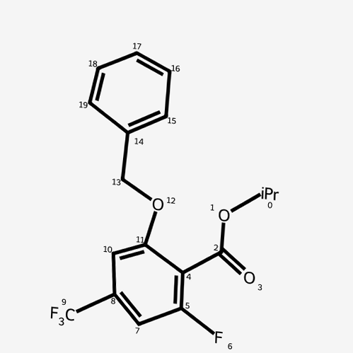 CC(C)OC(=O)c1c(F)cc(C(F)(F)F)cc1OCc1ccccc1